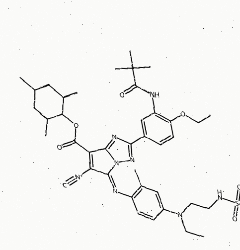 [C-]#[N+]C1=C(C(=O)OC2C(C)CC(C)CC2C)c2nc(-c3ccc(OCC)c(NC(=O)C(C)(C)C)c3)nn2C1=Nc1ccc(N(CC)CCNS(C)(=O)=O)cc1C